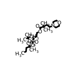 CCCC(C)(C)OP(=O)(OC(C)(C)C)SCCOC(=O)C(C)(C)CCN1CCOCC1